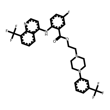 O=C(OCCN1CCN(c2cccc(C(F)(F)F)c2)CC1)c1cc(F)ccc1Nc1ccnc2c(C(F)(F)F)cccc12